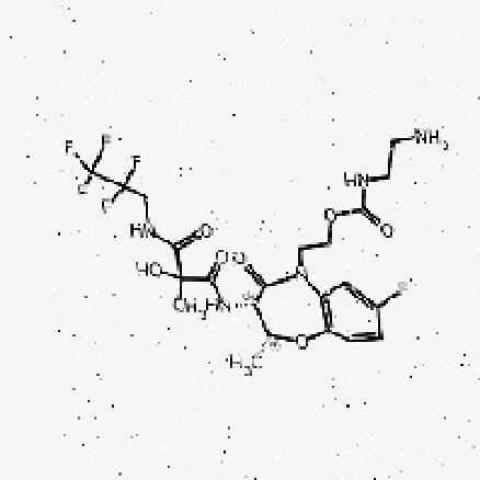 C[C@H]1Oc2ccc(F)cc2N(CCOC(=O)NCCN)C(=O)[C@H]1NC(=O)C(C)(O)C(=O)NCC(F)(F)C(F)(F)F